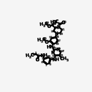 C=CC(=O)Nc1cccc(Nc2nc(Nc3ccc(N4CCN(C(C)=O)[C@H](C(=O)OC)C4)cc3OC)ncc2C)c1